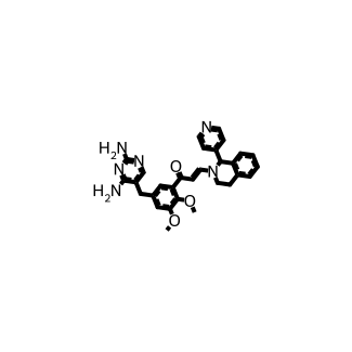 COc1cc(Cc2cnc(N)nc2N)cc(C(=O)/C=C/N2CCc3ccccc3C2c2ccncc2)c1OC